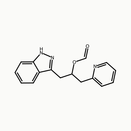 O=COC(Cc1ccccn1)Cc1n[nH]c2ccccc12